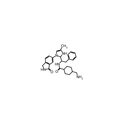 CC1=CN(c2ccc3c(c2)C(=O)NC3)C(C(Cc2ccccc2)NC(=O)C2CCC(CN)CC2)N1